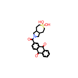 O=C1c2ccccc2C(=O)c2cc(C(=O)N3CC4CCS(O)(O)CCC4C3)ccc21